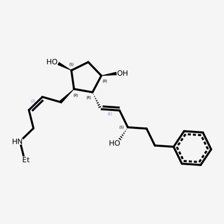 CCNC/C=C\C[C@@H]1[C@@H](/C=C/[C@@H](O)CCc2ccccc2)[C@H](O)C[C@@H]1O